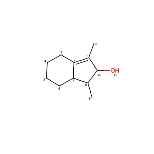 CC1=C2CCCCC2C(C)C1O